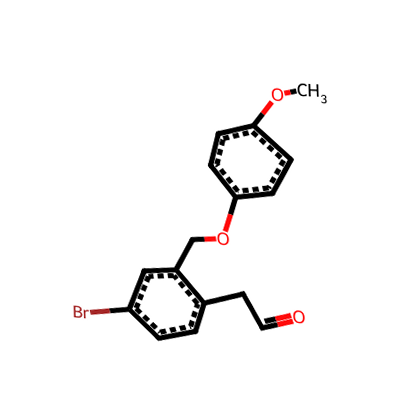 COc1ccc(OCc2cc(Br)ccc2CC=O)cc1